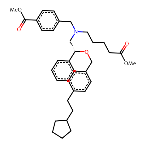 COC(=O)CCCCN(Cc1ccc(C(=O)OC)cc1)C[C@H](OCc1ccc(CCC2CCCC2)cc1)c1ccccc1